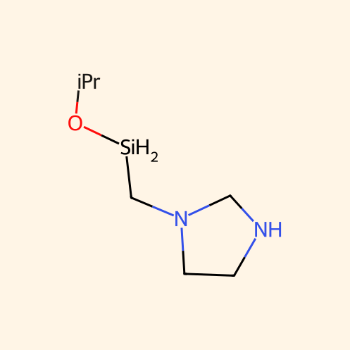 CC(C)O[SiH2]CN1CCNC1